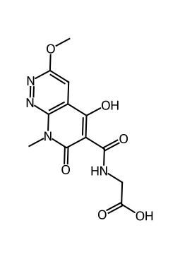 COc1cc2c(O)c(C(=O)NCC(=O)O)c(=O)n(C)c2nn1